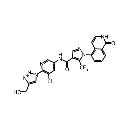 O=C(Nc1cnc(-n2cc(CO)nn2)c(Cl)c1)c1cnn(-c2cccc3c(=O)[nH]ccc23)c1C(F)(F)F